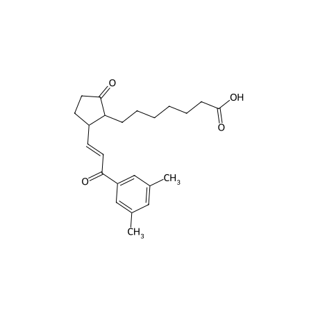 Cc1cc(C)cc(C(=O)/C=C/C2CCC(=O)C2CCCCCCC(=O)O)c1